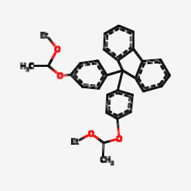 CCOC(C)Oc1ccc(C2(c3ccc(OC(C)OCC)cc3)c3ccccc3-c3ccccc32)cc1